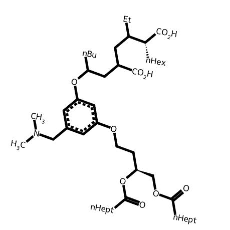 CCCCCCCC(=O)OC[C@H](CCOc1cc(CN(C)C)cc(OC(CCCC)CC(CC(CC)[C@@H](CCCCCC)C(=O)O)C(=O)O)c1)OC(=O)CCCCCCC